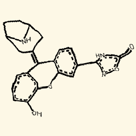 O=c1[nH]c(-c2ccc3c(c2)Oc2c(O)cccc2C3=C2CC3CCC(C2)N3)no1